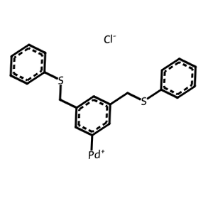 [Cl-].[Pd+][c]1cc(CSc2ccccc2)cc(CSc2ccccc2)c1